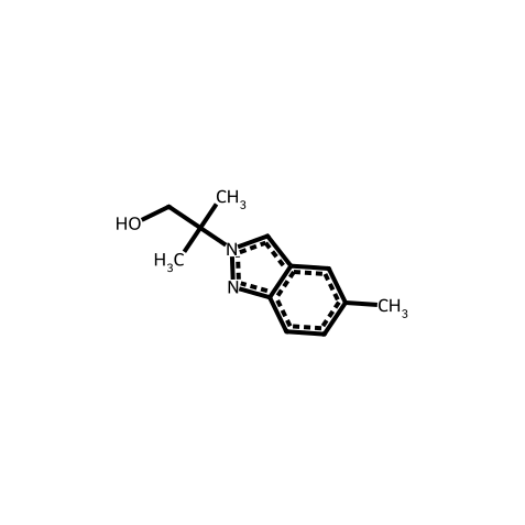 Cc1ccc2nn(C(C)(C)CO)cc2c1